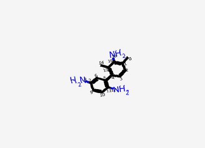 Cc1ccc(-c2cc(N)ccc2N)c(C)c1N